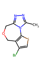 Cc1nnc2n1-c1scc(Br)c1COC2